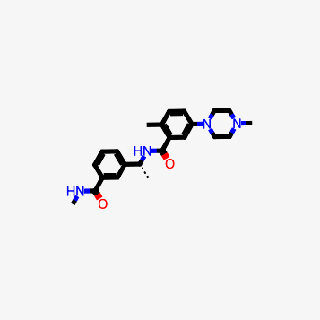 CNC(=O)c1cccc([C@@H](C)NC(=O)c2cc(N3CCN(C)CC3)ccc2C)c1